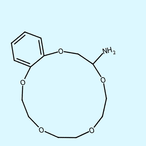 NC1COc2ccccc2OCCOCCOCCO1